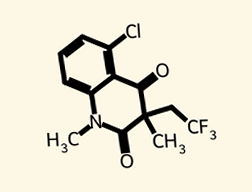 CN1C(=O)C(C)(CC(F)(F)F)C(=O)c2c(Cl)cccc21